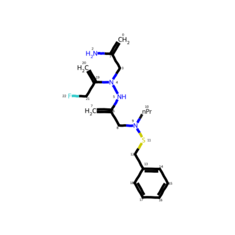 C=C(N)CN(NC(=C)CN(CCC)SCc1ccccc1)C(=C)CF